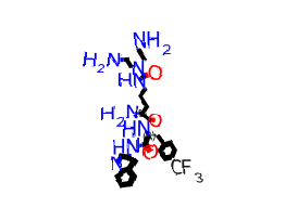 NCCN(CCN)C(=O)NCCC[C@H](N)C(=O)N[C@H](Cc1ccc(C(F)(F)F)cc1)C(=O)Nc1cnc2ccccc2c1